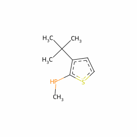 CPc1sccc1C(C)(C)C